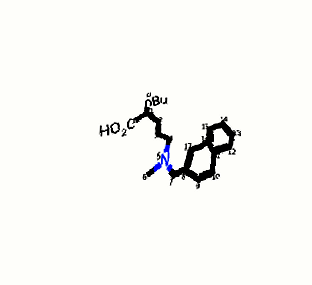 CCCCC(CCCN(C)Cc1ccc2ccccc2c1)C(=O)O